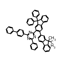 CC1(C)c2ccccc2-c2ccc(-c3cc4c(cc3-c3nc(-c5ccccc5)nc(-c5ccc(-c6ccccc6)cc5)n3)C(c3ccccc3)(c3ccccc3)c3ccccc3-4)cc21